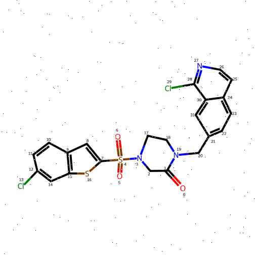 O=C1CN(S(=O)(=O)c2cc3ccc(Cl)cc3s2)CCN1Cc1ccc2ccnc(Cl)c2c1